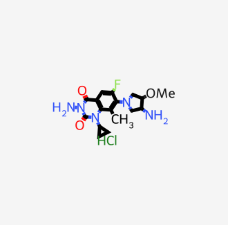 COC1CN(c2c(F)cc3c(=O)n(N)c(=O)n(C4CC4)c3c2C)CC1N.Cl